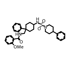 COc1ccccc1C(=O)NCC1(c2ccccc2)CCC(NS(=O)(=O)N2CCC(c3ccccc3)CC2)CC1